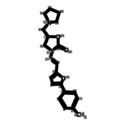 Cc1ccc(-c2ccc(/C=N/N3CC(CN4CCCC4)OC3=O)o2)cc1